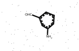 Nc1[c]c([C]=O)ccc1